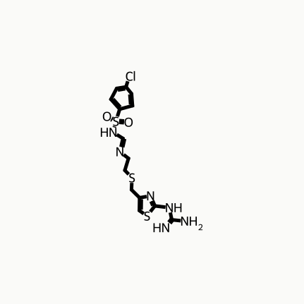 N=C(N)Nc1nc(CSCCN=CNS(=O)(=O)c2ccc(Cl)cc2)cs1